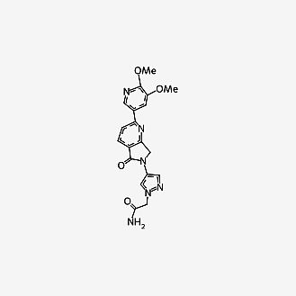 COc1cc(-c2ccc3c(n2)CN(c2cnn(CC(N)=O)c2)C3=O)cnc1OC